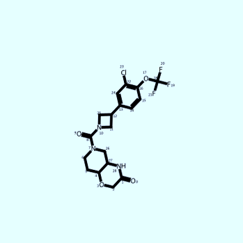 O=C1COC2CCN(C(=O)N3CC(c4ccc(OC(F)(F)F)c(Cl)c4)C3)CC2N1